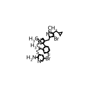 C[C@@H](Sc1cc(Br)cnc1N)c1cc(F)ccc1-c1nn(C)cc1Cc1nn(C)c(CC2CC2)c1Br